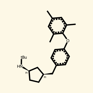 Cc1cc(C)c(Oc2ccc(C[C@H]3CC[C@@H](NC(C)(C)C)C3)cc2)c(C)c1